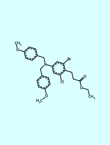 CCOC(=O)CCc1c(Cl)cc(N(Cc2ccc(OC)cc2)Cc2ccc(OC)cc2)cc1Br